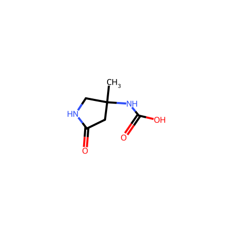 CC1(NC(=O)O)CNC(=O)C1